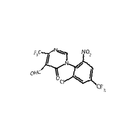 O=Cc1c(C(F)(F)F)ncn(-c2c(Cl)cc(C(F)(F)F)cc2[N+](=O)[O-])c1=O